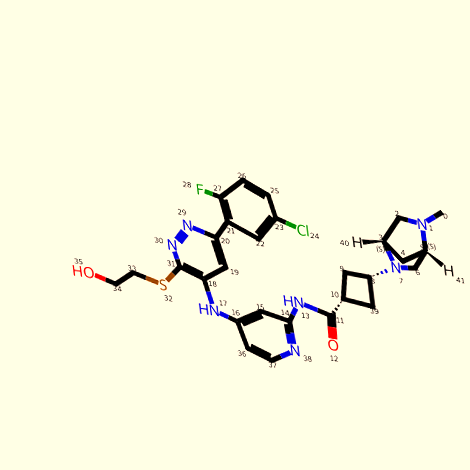 CN1C[C@@H]2C[C@H]1CN2[C@H]1C[C@@H](C(=O)Nc2cc(Nc3cc(-c4cc(Cl)ccc4F)nnc3SCCO)ccn2)C1